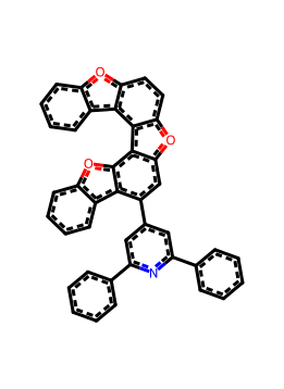 c1ccc(-c2cc(-c3cc4oc5ccc6oc7ccccc7c6c5c4c4oc5ccccc5c34)cc(-c3ccccc3)n2)cc1